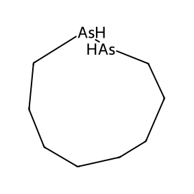 C1CCCC[AsH][AsH]CCC1